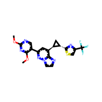 COc1ncc(-c2cc([C@H]3C[C@@H]3c3nc(C(F)(F)F)cs3)c3nccn3n2)c(OC)n1